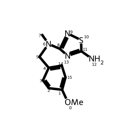 COc1ccc(CN(C)c2nsc(N)n2)cc1